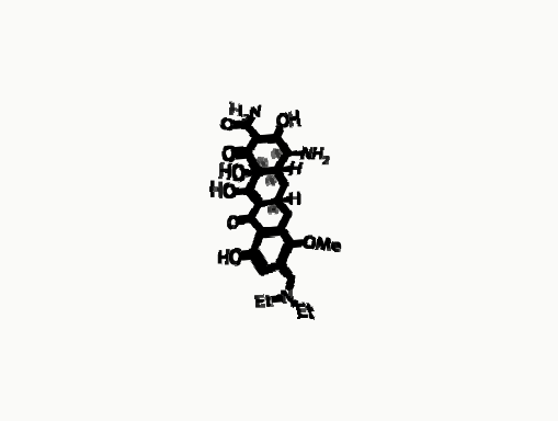 CCN(CC)Cc1cc(O)c2c(c1OC)C[C@H]1C[C@H]3[C@H](N)C(O)=C(C(N)=O)C(=O)[C@@]3(O)C(O)=C1C2=O